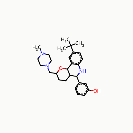 CN1CCN(CC2CCC3C(c4cccc(O)c4)Nc4ccc(C(C)(C)C)cc4C3O2)CC1